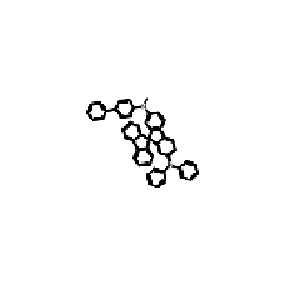 CN(c1ccc(-c2ccccc2)cc1)c1ccc2c(c1)C1(c3ccccc3-c3ccccc31)c1cc(N(c3ccccc3)c3ccccc3)ccc1-2